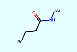 CCC(C)CCC(=O)NC(C)CC